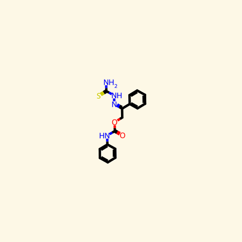 NC(=S)NN=C(COC(=O)Nc1ccccc1)c1ccccc1